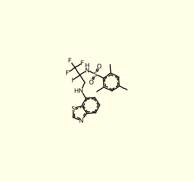 Cc1cc(C)c(S(=O)(=O)NC(I)(CNc2cccc3ncsc23)C(F)(F)F)c(C)c1